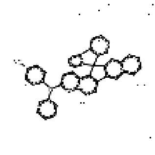 N#Cc1ccc(N(c2ccccc2)c2ccc3c4c(ccc3c2)-c2cc3ccccc3cc2C42c3ccccc3-c3ccccc32)cc1